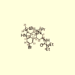 CCCN1C[C@@H](NC(=O)N(CC)CC)CC2c3cc(Br)cc4c3C(C[C@H]21)C([Si](C)(C)C(C)(C)C)N4